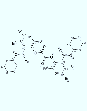 O=C(Oc1c(Br)cc(Br)c(Br)c1C(=O)OC1CCCCC1)C(=O)Oc1c(Br)cc(Br)c(Br)c1C(=O)OC1CCCCC1